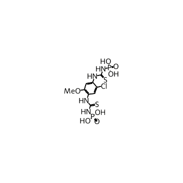 COc1cc(NC(=S)NP(=O)(O)O)c(Cl)cc1NC(=S)NP(=O)(O)O